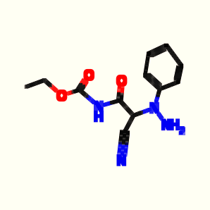 CCOC(=O)NC(=O)C(C#N)N(N)c1ccccc1